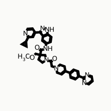 COCC1(C(=O)Nc2ccc3[nH]nc(-c4ccnc(C5CC5)c4)c3c2)CCN(C(=O)CN2CC=C(c3ccc(-c4ncccn4)cc3)CC2)C1